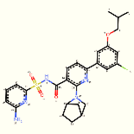 CC(C)COc1cc(F)cc(-c2ccc(C(=O)NS(=O)(=O)c3cccc(N)n3)c(N3CC4CCC3C4)n2)c1